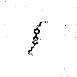 NCCCOC1Cn2cc(-c3ccc(OCCC(=O)O)cc3)c[n+]2C1